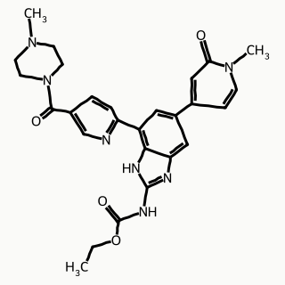 CCOC(=O)Nc1nc2cc(-c3ccn(C)c(=O)c3)cc(-c3ccc(C(=O)N4CCN(C)CC4)cn3)c2[nH]1